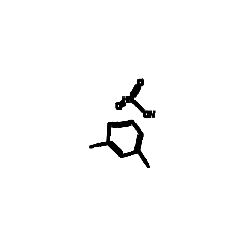 Cc1cccc(C)c1.O=[SH](=O)O